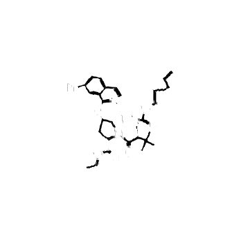 C=CCCCOC(=O)N[C@H](C(=O)N1C[C@H](Oc2nccc3ccc(Br)cc23)C[C@H]1C(=O)OCC)C(C)(C)C